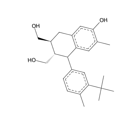 Cc1cc2c(cc1O)C[C@H](CO)[C@@H](CO)C2c1ccc(C)c(C(C)(C)C)c1